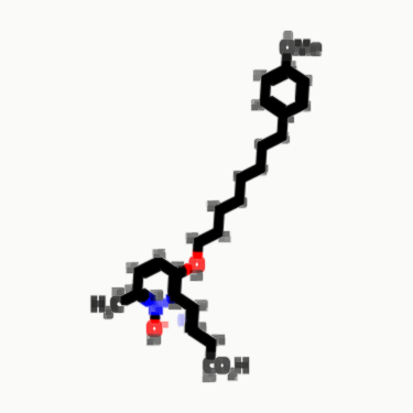 COc1ccc(CCCCCCCCOc2ccc(C)[n+]([O-])c2/C=C/CC(=O)O)cc1